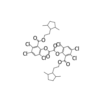 CC1CCC(C)C1CCOC(=O)c1c(Cl)c(Cl)cc(Cl)c1OC(=O)C(=O)Oc1c(Cl)cc(Cl)c(Cl)c1C(=O)OCCC1C(C)CCC1C